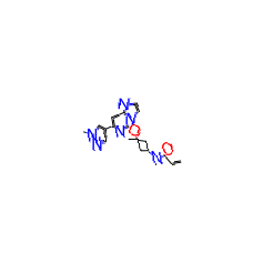 C=CC(=O)N(C)C1CC(C)(Oc2nc(-c3cnn(C)c3)cc3nccn23)C1